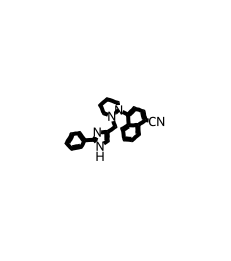 N#Cc1ccc(N2CCCCN2Cc2c[nH]c(-c3ccccc3)n2)c2ccccc12